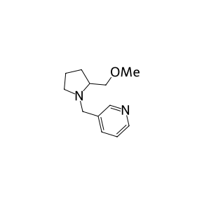 COCC1CCCN1Cc1cccnc1